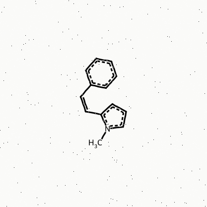 Cn1cccc1/C=C\c1ccccc1